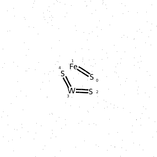 [S]=[Fe].[S]=[W]=[S]